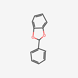 [c]1ccccc1C1Oc2ccccc2O1